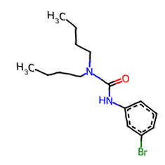 CCCCN(CCCC)C(=O)Nc1cccc(Br)c1